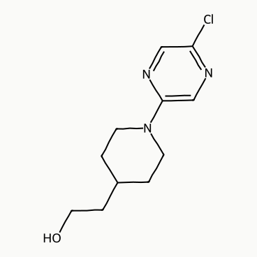 OCCC1CCN(c2cnc(Cl)cn2)CC1